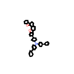 c1ccc(-c2ccc(N(c3ccc(-c4ccccc4)cc3)c3ccc(-c4ccc5oc6c(ccc7ccc8c9ccccc9oc8c76)c5c4)cc3)cc2)cc1